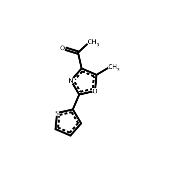 CC(=O)c1nc(-c2cccs2)oc1C